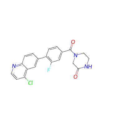 O=C1CN(C(=O)c2ccc(-c3ccc4nccc(Cl)c4c3)c(F)c2)CCN1